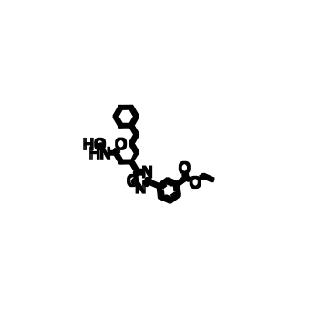 CCOC(=O)c1cccc(-c2noc([C@H](CCCC3CCCCC3)CC(=O)NO)n2)c1